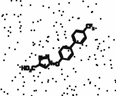 O=C(O)c1cn(Oc2ccc(-c3ccc(C(F)(F)F)cc3)cc2)nn1